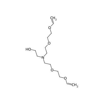 C=COCCOCCN(CCO)CCOCCOC=C